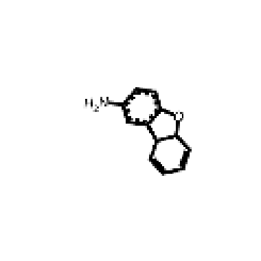 Nc1ccc2c(c1)C1C=CC=CC1O2